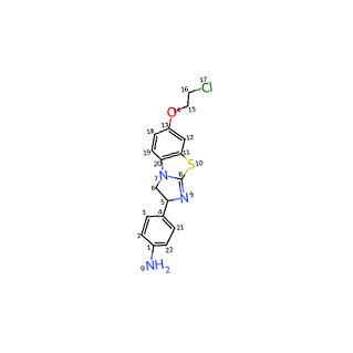 Nc1ccc(C2CN3C(=N2)Sc2cc(OCCCl)ccc23)cc1